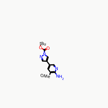 COc1cc(-c2cnn(C(=O)OC(C)(C)C)c2)cnc1N